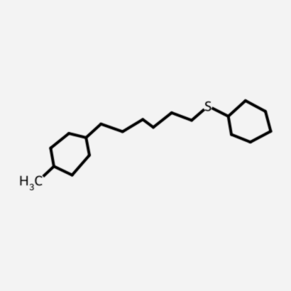 CC1CCC(CCCCCCSC2CCCCC2)CC1